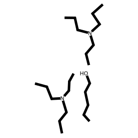 CCCCCO.CCCN(CCC)CCC.CCCN(CCC)CCC